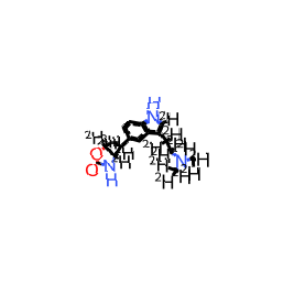 [2H]c1[nH]c2ccc(C([2H])([2H])[C@]3([2H])NC(=O)OC3([2H])[2H])cc2c1C([2H])([2H])C([2H])([2H])N(C([2H])([2H])[2H])C([2H])([2H])[2H]